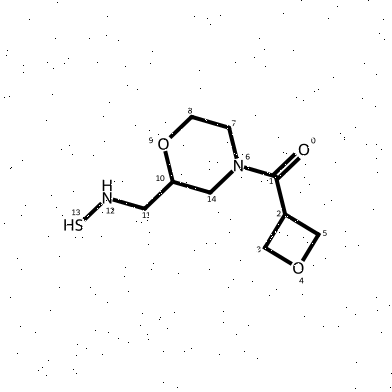 O=C(C1COC1)N1CCOC(CNS)C1